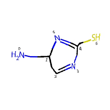 NC1C=NC(S)=N1